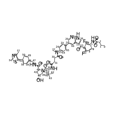 CCCS(=O)(=O)Nc1ccc(F)c(C(=O)c2c[nH]c3ncc(-c4ccc(N(C)C(=O)CCC(=O)NC(C(=O)N5C[C@H](O)C[C@H]5C(=O)NCc5ccc(-c6scnc6C)cc5)C(C)(C)C)cc4)cc23)c1F